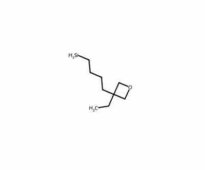 CCC1(CCCC[SiH3])COC1